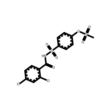 CS(=O)(=O)Oc1ccc(S(=O)(=O)NC(=O)c2ccc(Cl)cc2Cl)cc1